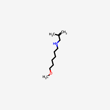 C=C(C)CNCCCCCCOC